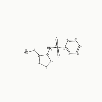 O=S(=O)(NC1CCCC1CO)c1ccccc1